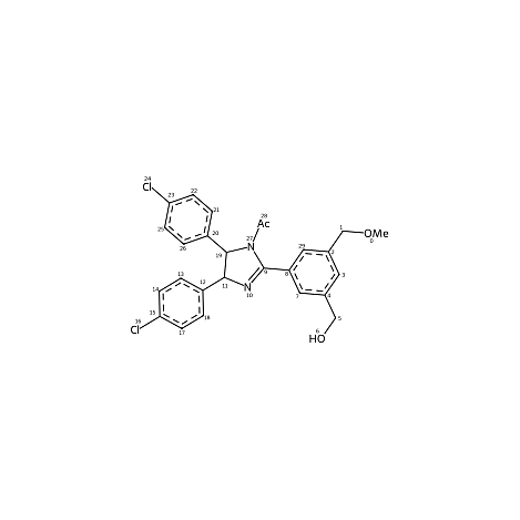 COCc1cc(CO)cc(C2=NC(c3ccc(Cl)cc3)C(c3ccc(Cl)cc3)N2C(C)=O)c1